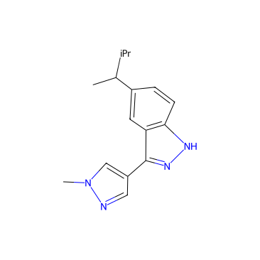 CC(C)C(C)c1ccc2[nH]nc(-c3cnn(C)c3)c2c1